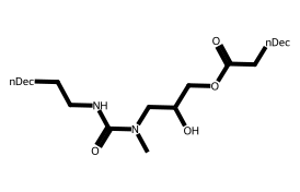 CCCCCCCCCCCCNC(=O)N(C)CC(O)COC(=O)CCCCCCCCCCC